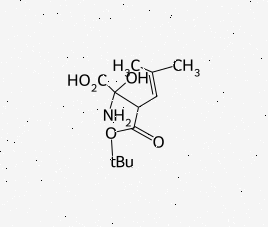 CC(C)=CC(C(=O)OC(C)(C)C)C(N)(O)C(=O)O